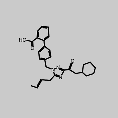 CC=CCc1nc(C(=O)CC2CCCCC2)nn1Cc1ccc(-c2ccccc2C(=O)O)cc1